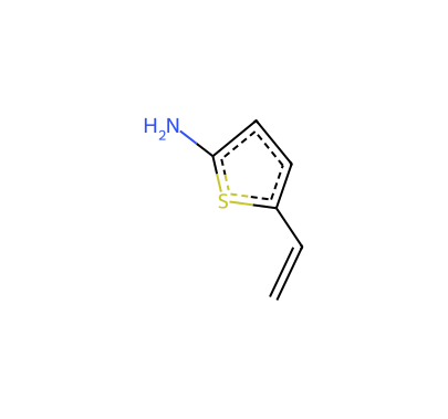 C=Cc1ccc(N)s1